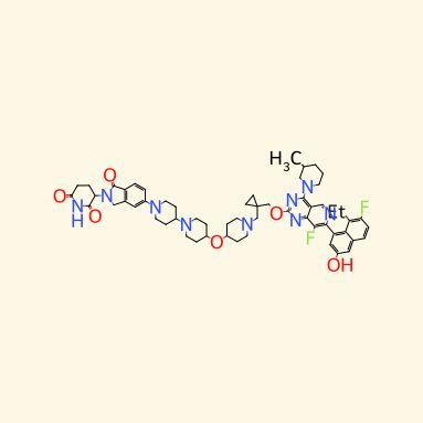 CCc1c(F)ccc2cc(O)cc(-c3ncc4c(N5CCC[C@H](C)C5)nc(OCC5(CN6CCC(OC7CCN(C8CCN(c9ccc%10c(c9)CN(C9CCC(=O)NC9=O)C%10=O)CC8)CC7)CC6)CC5)nc4c3F)c12